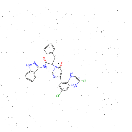 N/C(Cl)=C\Nc1ccc(Cl)cc1-c1cc(=O)n(C(Cc2ccccc2)C(=O)Nc2n[nH]c3ccccc23)cn1